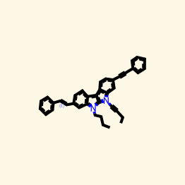 CCC#Cn1c2cc(C#Cc3ccccc3)ccc2c2c3ccc(/C=C/c4ccccc4)cc3n(CCCC)c21